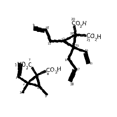 C=CC1(C)C(C)C1(C(=O)O)C(=O)O.C=CCC1C(C=C)(CC=C)C1(C(=O)O)C(=O)O